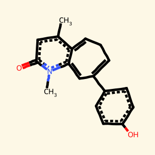 Cc1cc(=O)n(C)c2c1=CCC=C(c1ccc(O)cc1)C=2